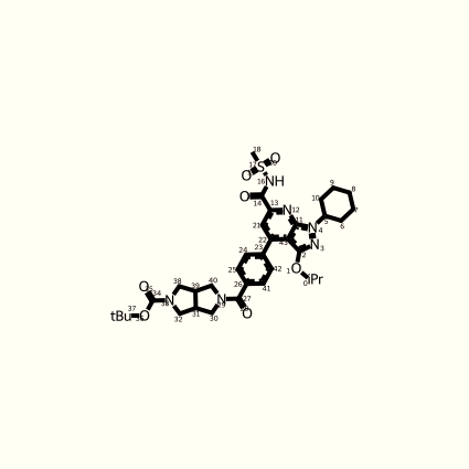 CC(C)Oc1nn(C2CCCCC2)c2nc(C(=O)NS(C)(=O)=O)cc(-c3ccc(C(=O)N4CC5CN(C(=O)OC(C)(C)C)CC5C4)cc3)c12